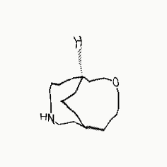 C1O[C@@H]2CNC1C2